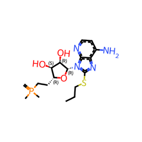 C=P(C)(C)CC[C@H]1O[C@@H](n2c(SCCC)nc3c(N)ccnc32)[C@H](O)[C@@H]1O